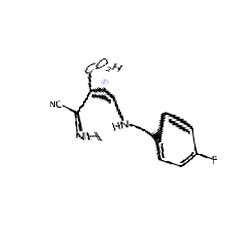 N#CC(=N)/C(=C\Nc1ccc(F)cc1)C(=O)O